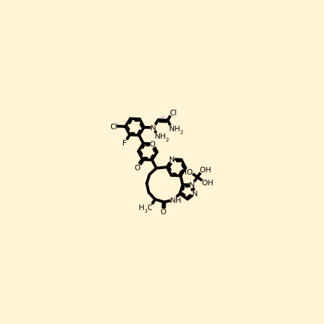 CC1CCCC(c2coc(-c3c(N(N)/C=C(\N)Cl)ccc(Cl)c3F)cc2=O)c2cc(ccn2)-c2c(cnn2C(O)(O)O)NC1=O